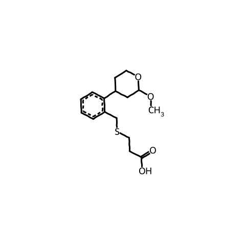 COC1CC(c2ccccc2CSCCC(=O)O)CCO1